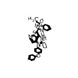 C=CC(=O)N[C@@H]1CCCC[C@@H]1NC(=O)c1sc2nccc3c2c1NC(=O)N3c1ccc(Oc2ccccc2)cc1